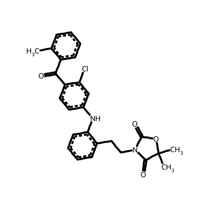 Cc1ccccc1C(=O)c1ccc(Nc2ccccc2CCN2C(=O)OC(C)(C)C2=O)cc1Cl